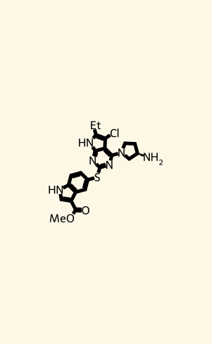 CCc1[nH]c2nc(Sc3ccc4[nH]cc(C(=O)OC)c4c3)nc(N3CC[C@@H](N)C3)c2c1Cl